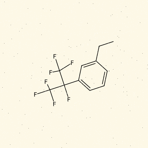 CCc1[c]ccc(C(F)(C(F)(F)F)C(F)(F)F)c1